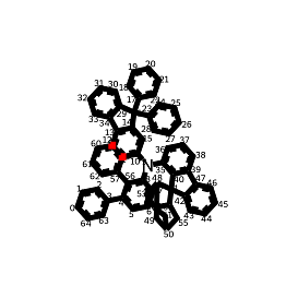 c1ccc(-c2cccc(N(c3ccc4c(c3)C(c3ccccc3)(c3ccccc3)c3ccccc3-4)c3cccc4c3C3(c5ccccc5-4)C4CC5CC(C4)C3C5)c2-c2ccccc2)cc1